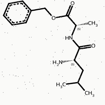 CC(C)C[C@H](N)C(=O)N[C@@H](C)C(=O)OCc1ccccc1